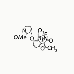 COc1ncccc1COc1ccc2oc(C)c(C(N)=O)c2c1C1COCC1(F)F